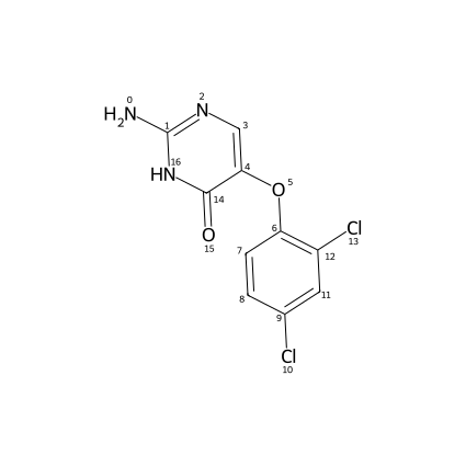 Nc1ncc(Oc2ccc(Cl)cc2Cl)c(=O)[nH]1